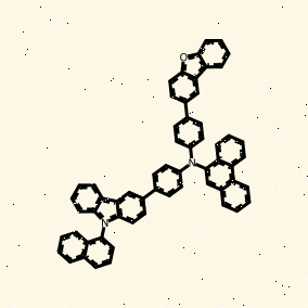 c1ccc2c(-n3c4ccccc4c4cc(-c5ccc(N(c6ccc(-c7ccc8oc9ccccc9c8c7)cc6)c6cc7ccccc7c7ccccc67)cc5)ccc43)cccc2c1